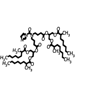 CCCCCCC(C)C(=O)OCC(COC(=O)C(C)CCCCCC)OC(=O)CCCN(CCCC(=O)OC(COC(=O)C(C)CCCCCC)COC(=O)C(C)CCCCCC)C(=O)n1ccnc1